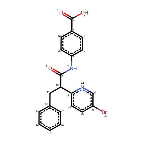 O=C(O)c1ccc(NC(=O)C(Cc2ccccc2)c2ccc(Br)cn2)cc1